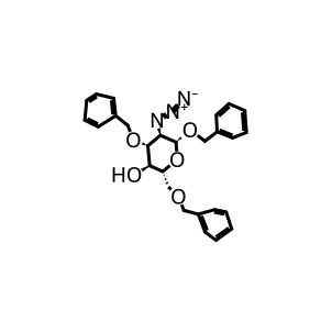 [N-]=[N+]=N[C@H]1[C@H](OCc2ccccc2)O[C@H](COCc2ccccc2)[C@@H](O)[C@@H]1OCc1ccccc1